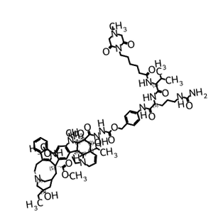 CC[C@]1(O)CC2C[N@@](CCc3c([nH]c4ccccc34)[C@@](C(=O)OC)(c3cc4c(cc3OC)N(C)[C@H]3[C@@](O)(C(=O)NNC(=O)OCc5ccc(NC(=O)[C@H](CCCNC(N)=O)NC(=O)[C@@H](NC(=O)CCCCCN6C(=O)CN(C)CC6=O)C(C)C)cc5)[C@H](O)[C@]5(CC)C=CCN6CC[C@]43[C@@H]65)C2)C1